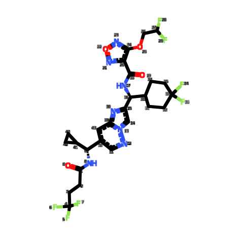 O=C(CCC(F)(F)F)N[C@@H](c1cnn2cc([C@@H](NC(=O)c3nonc3OCC(F)F)C3CCC(F)(F)CC3)nc2c1)C1CC1